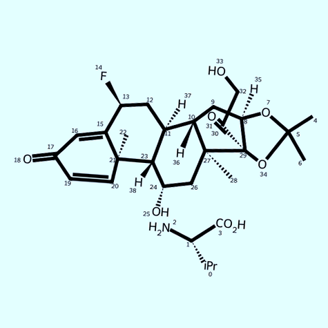 CC(C)[C@H](N)C(=O)O.CC1(C)O[C@@H]2C[C@H]3[C@@H]4C[C@H](F)C5=CC(=O)C=C[C@]5(C)[C@H]4[C@@H](O)C[C@]3(C)[C@]2(C(=O)CO)O1